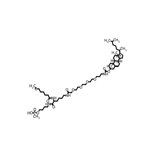 COCCCCCC(=O)NC(CCCCNC(=O)COCCOCCOCCOCCCNC(=O)O[C@H]1CC[C@@]2(C)C(=CC[C@H]3[C@@H]4CC[C@H]([C@H](C)CCCC(C)C)[C@@]4(C)CC[C@@H]32)C1)C(=O)NCCCCOP(C)(=O)O